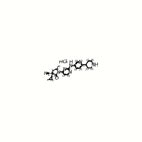 C[C@@H]1C[C@@](C#N)(C2CC2)C(=O)N1c1ccnc(Nc2ccc(C3CCNCC3)nc2)n1.Cl